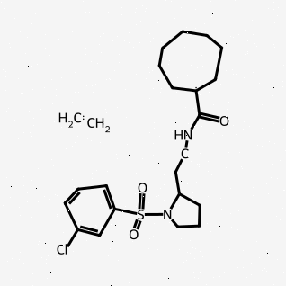 O=C(NCCC1CCCN1S(=O)(=O)c1cccc(Cl)c1)[C]1CCCCCCC1.[CH2].[CH2]